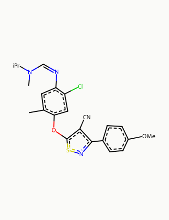 COc1ccc(-c2nsc(Oc3cc(Cl)c(/N=C\N(C)C(C)C)cc3C)c2C#N)cc1